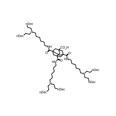 CCCCCCCCCCCCN(CCCCCCCCCCCC)CCCCCCNC(=O)C12CC3(C(=O)O)CC(C(=O)NCCCCCCN(CCCCCCCCCCCC)CCCCCCCCCCCC)(C1)CC(C(=O)NCCCCCCN(CCCCCCCCCCCC)CCCCCCCCCCCC)(C3)C2